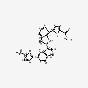 CC(=O)c1ccc(-c2cccc3[nH]c(-c4n[nH]c5ccc(-c6cnn(C)c6)nc45)nc23)s1